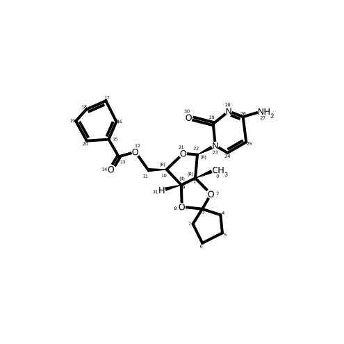 C[C@@]12OC3(CCCC3)O[C@@H]1[C@@H](COC(=O)c1ccccc1)O[C@H]2n1ccc(N)nc1=O